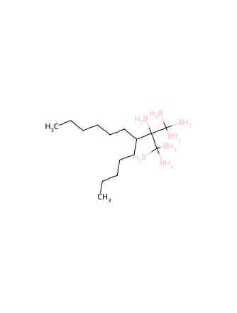 BC(B)(B)C(B)(C(CCCCC)CCCCCC)C(B)(B)B